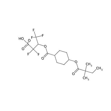 CCC(C)(C)C(=O)OC1CCC(C(=O)OC(C(F)(F)F)C(F)(F)S(=O)(=O)O)CC1